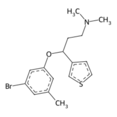 Cc1cc(Br)cc(OC(CCN(C)C)c2ccsc2)c1